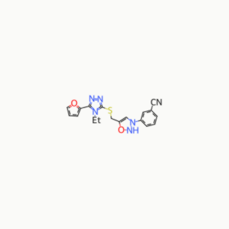 CCn1c(SCC2=CN(c3cccc(C#N)c3)NO2)nnc1-c1ccco1